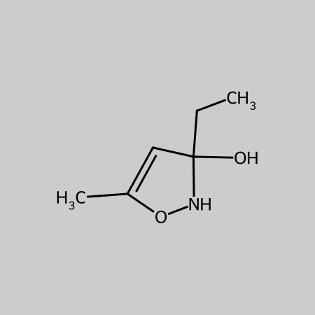 CCC1(O)C=C(C)ON1